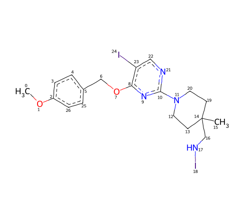 COc1ccc(COc2nc(N3CCC(C)(CNI)CC3)ncc2I)cc1